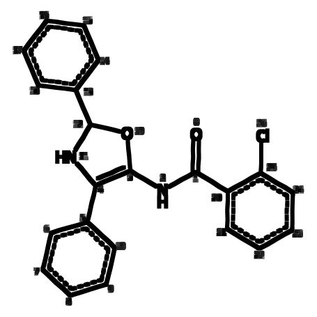 O=C(NC1=C(c2ccccc2)NC(c2ccccc2)O1)c1ccccc1Cl